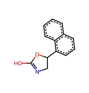 OC1=NCC(c2cccc3ccccc23)O1